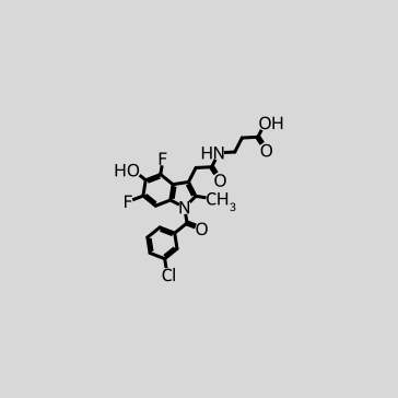 Cc1c(CC(=O)NCCC(=O)O)c2c(F)c(O)c(F)cc2n1C(=O)c1cccc(Cl)c1